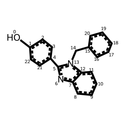 Oc1ccc(-c2nc3ccccc3n2Cc2ccccc2)cc1